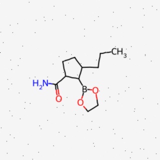 CCCC1CCC(C(N)=O)C1B1OCCO1